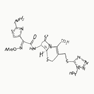 CCCn1nnnc1SCC1=C(C(=O)O)N2C(=O)C(NC(=O)C(=NOC)c3csc(N)n3)[C@@H]2SC1